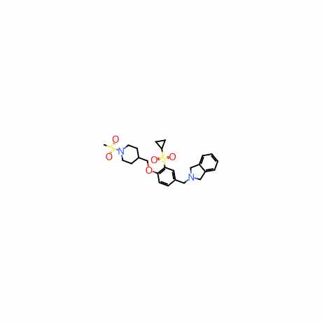 CS(=O)(=O)N1CCC(COc2ccc(CN3Cc4ccccc4C3)cc2S(=O)(=O)C2CC2)CC1